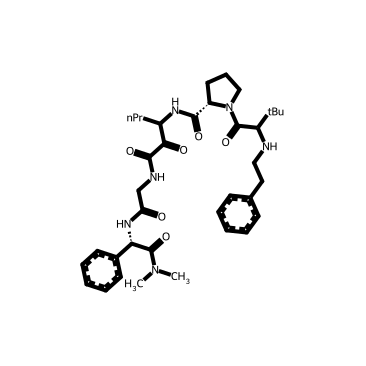 CCCC(NC(=O)[C@@H]1CCCN1C(=O)C(NCCc1ccccc1)C(C)(C)C)C(=O)C(=O)NCC(=O)N[C@H](C(=O)N(C)C)c1ccccc1